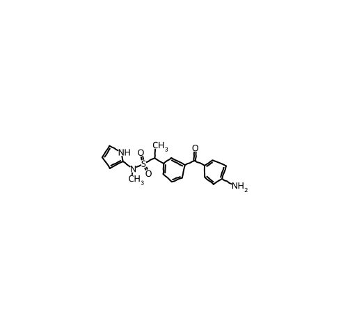 CC(c1cccc(C(=O)c2ccc(N)cc2)c1)S(=O)(=O)N(C)c1ccc[nH]1